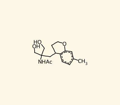 CC(=O)NC(CO)(CO)CC1CCOc2cc(C)ccc21